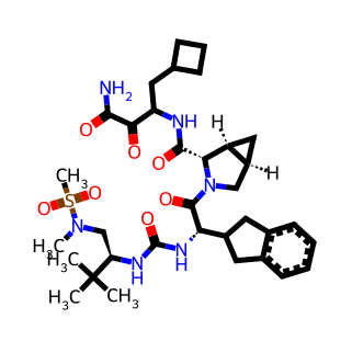 CN(C[C@@H](NC(=O)N[C@H](C(=O)N1C[C@@H]2C[C@@H]2[C@H]1C(=O)NC(CC1CCC1)C(=O)C(N)=O)C1Cc2ccccc2C1)C(C)(C)C)S(C)(=O)=O